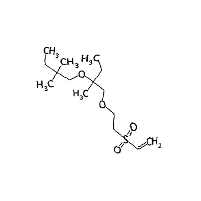 C=CS(=O)(=O)CCOCC(C)(CC)OCC(C)(C)CC